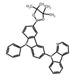 CC1(C)OB(c2ccc3c(c2)c2cc(-n4c5ccccc5c5cccnc54)ccc2n3-c2ccccc2)OC1(C)C